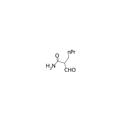 CCCCC(C=O)C(N)=O